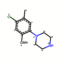 COc1cc(Cl)c(C)cc1N1CCNCC1